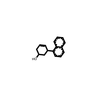 OC1CC=CC(c2[c]ccc3ccccc23)C1